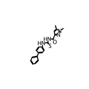 Cc1cc(C(=O)NC(=S)Nc2ccc(-c3ccccc3)cc2)nn1C